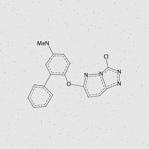 CNc1ccc(Oc2ccc3nnc(Cl)n3n2)c(-c2ccccc2)c1